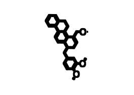 COc1ccc(CC2CC=C(C[O])c3c2ccc2c3CCc3ccccc3-2)cc1OC